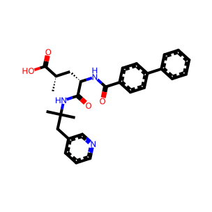 C[C@@H](C[C@H](NC(=O)c1ccc(-c2ccccc2)cc1)C(=O)NC(C)(C)Cc1cccnc1)C(=O)O